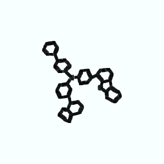 c1ccc(-c2ccc(N(c3ccc(-c4cccc5c4oc4ccccc45)cc3)c3cccc(-c4cccc5ccccc45)c3)cc2)cc1